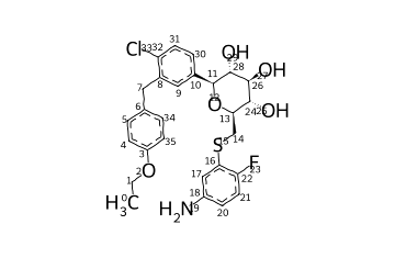 CCOc1ccc(Cc2cc([C@@H]3O[C@H](CSc4cc(N)ccc4F)[C@@H](O)[C@H](O)[C@H]3O)ccc2Cl)cc1